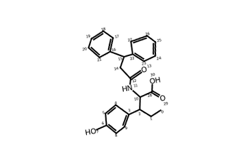 CCC(c1ccc(O)cc1)C(NC(=O)CC(c1ccccc1)c1ccccc1)C(=O)O